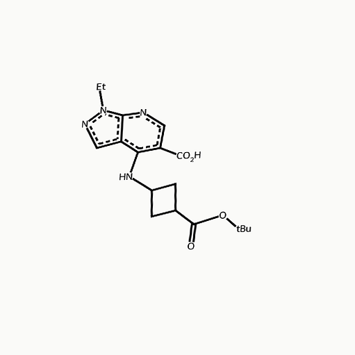 CCn1ncc2c(NC3CC(C(=O)OC(C)(C)C)C3)c(C(=O)O)cnc21